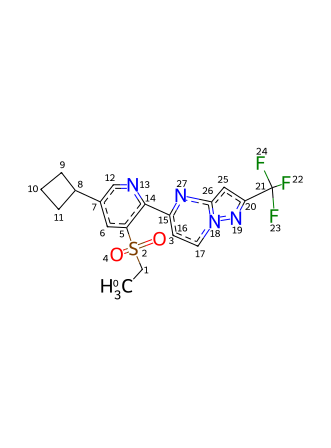 CCS(=O)(=O)c1cc(C2CCC2)cnc1-c1ccn2nc(C(F)(F)F)cc2n1